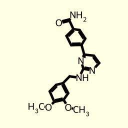 COc1ccc(CNc2nccc(-c3ccc(C(N)=O)cc3)n2)cc1OC